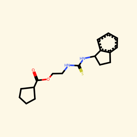 O=C(OCCNC(=S)NC1CCc2ccccc21)C1CCCC1